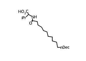 CCCCCCCCCCCCCCCCCCCCC(=O)NC(C(=O)O)C(C)C